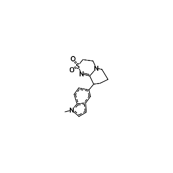 Cn1ccc2cc(C3CCCN4CCS(=O)(=O)N=C34)ccc21